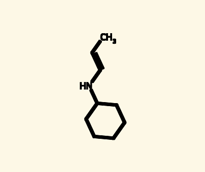 C/C=C/NC1CCCCC1